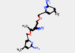 C/C(OCc1cc(C)cc(N)n1)=C(/N)COCc1cc(C)cc(N)n1